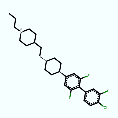 CCC[SiH]1CCC(CC[C@H]2CC[C@H](c3cc(F)c(-c4ccc(Cl)c(F)c4)c(F)c3)CC2)CC1